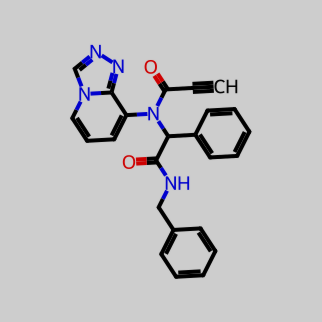 C#CC(=O)N(c1cccn2cnnc12)C(C(=O)NCc1ccccc1)c1ccccc1